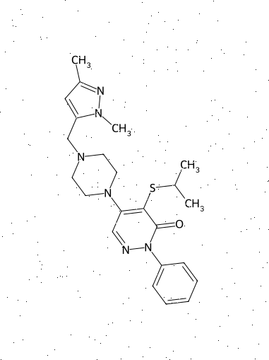 Cc1cc(CN2CCN(c3cnn(-c4ccccc4)c(=O)c3SC(C)C)CC2)n(C)n1